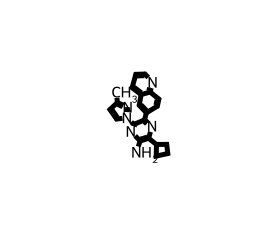 Cc1ccn(-c2nc(N)c(C3CCC3)nc2-c2ccc3ncccc3c2)n1